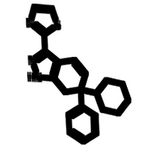 C1=CC(c2ccccc2)(C2CCCCC2)Cc2[nH]nc(-c3nccs3)c21